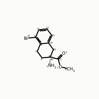 COC(=O)[C@@]1(N)CCc2c(Br)cccc2C1